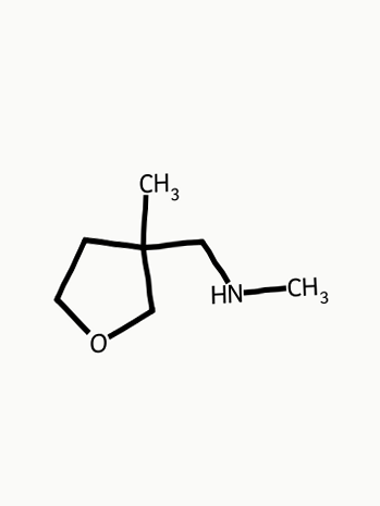 CNCC1(C)CCOC1